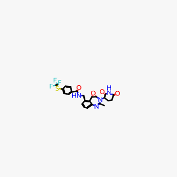 CC1=Nc2cccc(CNC(=O)c3ccc(SC(F)(F)F)cc3)c2C2OC2N1C1CCC(=O)NC1=O